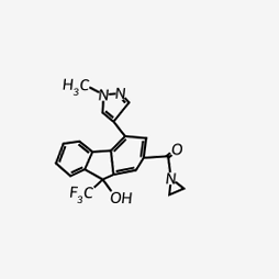 Cn1cc(-c2cc(C(=O)N3CC3)cc3c2-c2ccccc2C3(O)C(F)(F)F)cn1